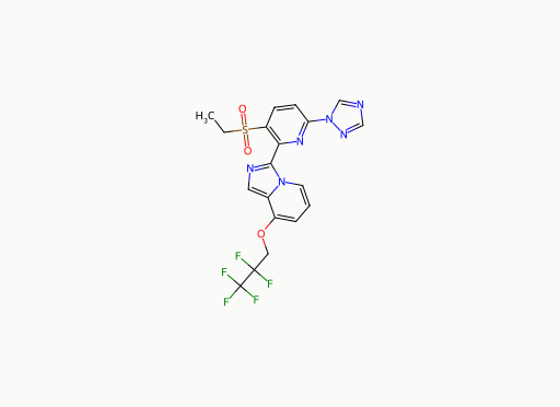 CCS(=O)(=O)c1ccc(-n2cncn2)nc1-c1ncc2c(OCC(F)(F)C(F)(F)F)cccn12